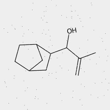 C=C(C)C(O)C1CC2CCC1C2